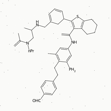 C=C(Nc1cc(C)c(CCc2ccc(C=O)cc2)c(P)c1)c1c(C2C=CC=C(CNC(C)CN(CCC)C(=C)C)C2)sc2c1CCCC2